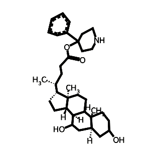 C[C@H](CCC(=O)OC1(c2ccccc2)CCNCC1)[C@H]1CC[C@H]2[C@@H]3C(O)C[C@@H]4CC(O)CC[C@]4(C)[C@H]3CC[C@]12C